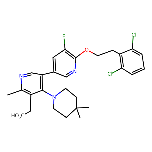 Cc1ncc(-c2cnc(OCCc3c(Cl)cccc3Cl)c(F)c2)c(N2CCC(C)(C)CC2)c1CC(=O)O